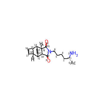 CC(=O)[C@@H](N)CCCCN1C(=O)C2C3C=CC(C4C=C[C@H]43)[C@@H]2C1=O